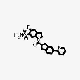 NS(=O)(=O)c1cc2c(cc1F)CCN2C(=O)C1Cc2ccc(-c3ccccn3)cc2C1